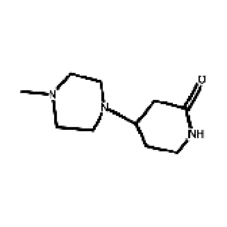 CN1CCN(C2CCNC(=O)C2)CC1